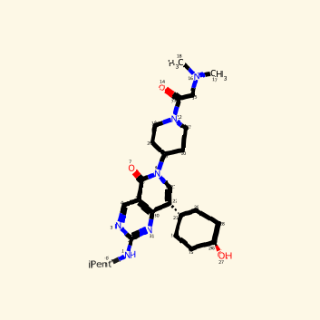 CCCC(C)Nc1ncc2c(=O)n(C3CCN(C(=O)CN(C)C)CC3)cc([C@H]3CC[C@H](O)CC3)c2n1